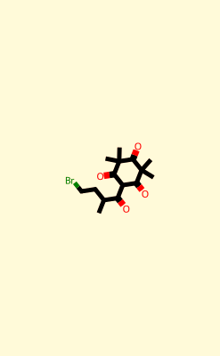 CC(CCBr)C(=O)C1C(=O)C(C)(C)C(=O)C(C)(C)C1=O